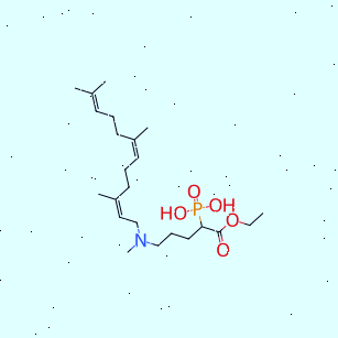 CCOC(=O)C(CCCN(C)CC=C(C)CCC=C(C)CCC=C(C)C)P(=O)(O)O